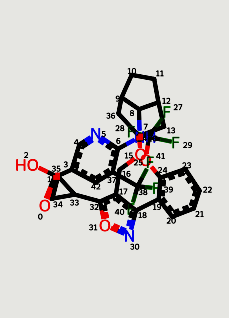 O=C(O)c1cnc(NC2C3CCC2CC(OCc2c(-c4ccccc4OC(F)(F)F)noc2C2CC2)C3)c(C(F)(F)F)c1